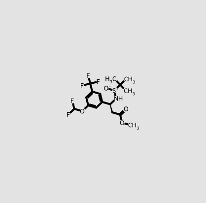 COC(=O)C[C@H](N[S+]([O-])C(C)(C)C)c1cc(OC(F)F)cc(C(F)(F)F)c1